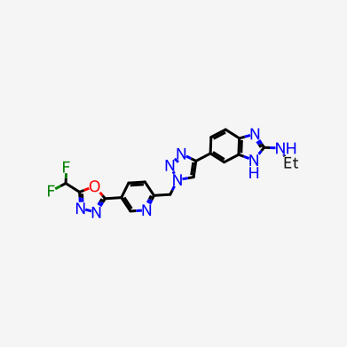 CCNc1nc2ccc(-c3cn(Cc4ccc(-c5nnc(C(F)F)o5)cn4)nn3)cc2[nH]1